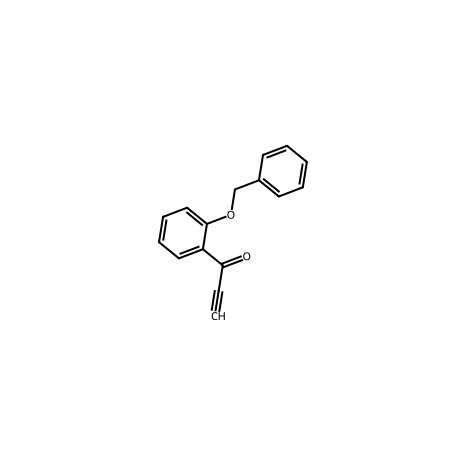 C#CC(=O)c1ccccc1OCc1ccccc1